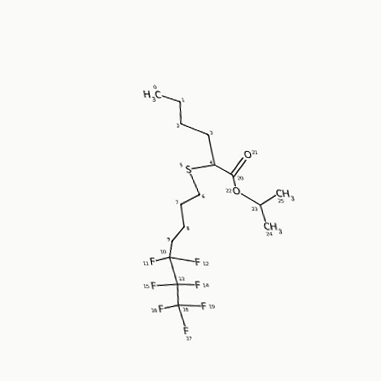 CCCCC(SCCCCC(F)(F)C(F)(F)C(F)(F)F)C(=O)OC(C)C